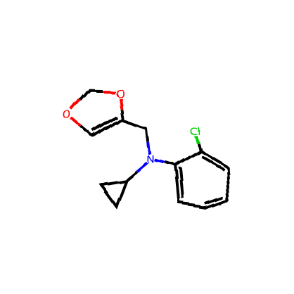 Clc1ccccc1N(CC1=COCO1)C1CC1